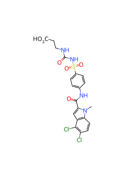 Cn1c(C(=O)Nc2ccc(S(=O)(=O)NC(=O)NCCC(=O)O)cc2)cc2c(Cl)c(Cl)ccc21